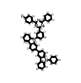 Fc1ccc(-c2nc(-c3ccccc3)nc(-c3cccc(-n4c5ccccc5c5ccc(-c6ccc7c(c6)c6ccccc6n7-c6ccccc6)cc54)c3)n2)cc1